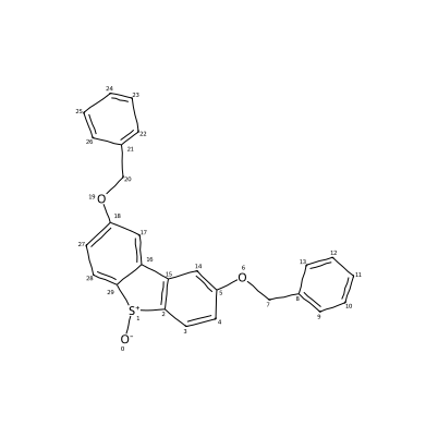 [O-][s+]1c2ccc(OCc3ccccc3)cc2c2cc(OCc3ccccc3)ccc21